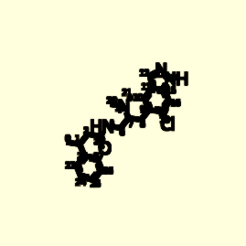 CC(CC(=O)NCC(Cc1cc2cn[nH]c2cc1Cl)N(C)C)c1ccccc1